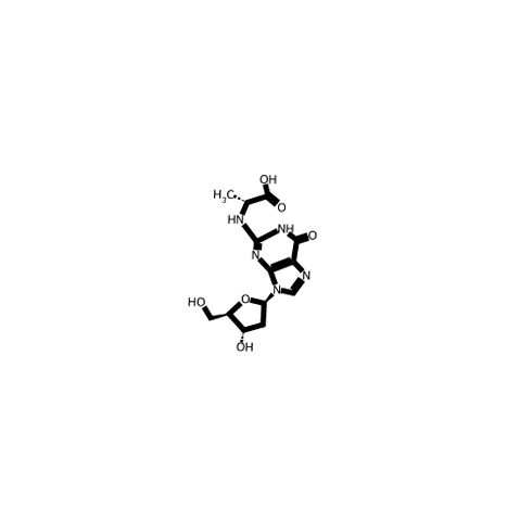 C[C@@H](Nc1nc2c(ncn2[C@H]2C[C@H](O)[C@@H](CO)O2)c(=O)[nH]1)C(=O)O